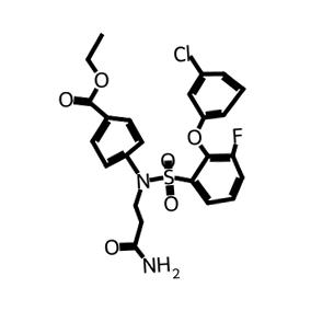 CCOC(=O)c1ccc(N(CCC(N)=O)S(=O)(=O)c2cccc(F)c2Oc2cccc(Cl)c2)cc1